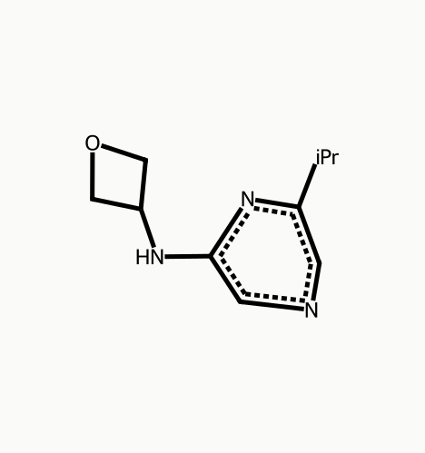 CC(C)c1cncc(NC2COC2)n1